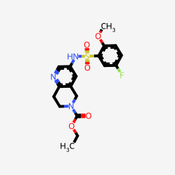 CCOC(=O)N1CCc2ncc(NS(=O)(=O)c3cc(F)ccc3OC)cc2C1